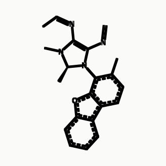 C=NC1=C(/N=C\C)N(C)[C@H](C)N1c1c(C)ccc2c1oc1ccccc12